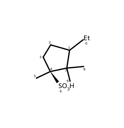 CCC1CC[C@](C)(S(=O)(=O)O)C1(C)C